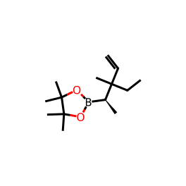 C=CC(C)(CC)[C@@H](C)B1OC(C)(C)C(C)(C)O1